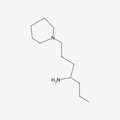 CCCC(N)CCCN1CCCCC1